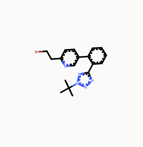 CC(C)(C)n1nnc(-c2ccccc2-c2ccc(CCBr)nc2)n1